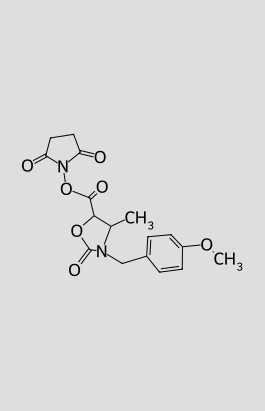 COc1ccc(CN2C(=O)OC(C(=O)ON3C(=O)CCC3=O)C2C)cc1